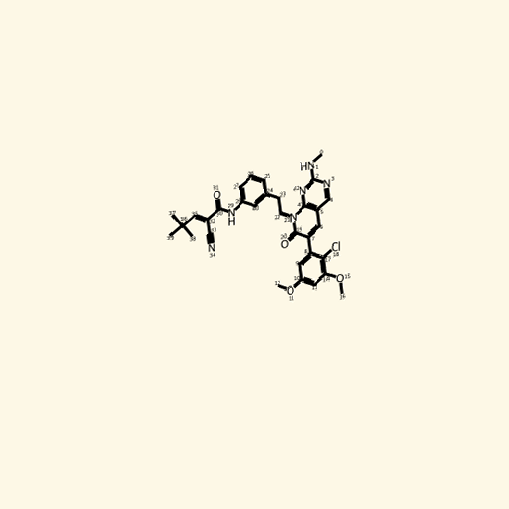 CNc1ncc2cc(-c3cc(OC)cc(OC)c3Cl)c(=O)n(CCc3cccc(NC(=O)/C(C#N)=C/C(C)(C)C)c3)c2n1